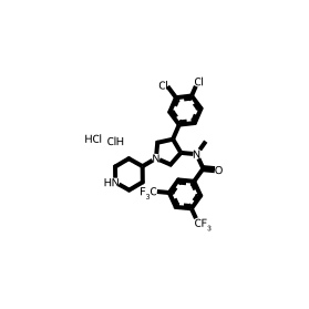 CN(C(=O)c1cc(C(F)(F)F)cc(C(F)(F)F)c1)C1CN(C2CCNCC2)CC1c1ccc(Cl)c(Cl)c1.Cl.Cl